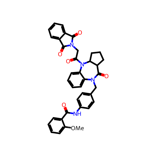 COc1ccccc1C(=O)Nc1ccc(CN2C(=O)C3CCCC3N(C(=O)CN3C(=O)c4ccccc4C3=O)c3ccccc32)cc1